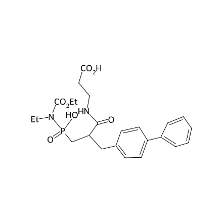 [CH2]COC(=O)N(CC)P(=O)(O)CC(Cc1ccc(-c2ccccc2)cc1)C(=O)NCCC(=O)O